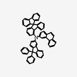 c1ccc(C2(c3ccccc3)c3ccccc3-c3cc(N(c4ccc5ccc6ccccc6c5c4)c4cccc5c4-c4ccccc4C54c5ccccc5-c5ccccc54)ccc32)cc1